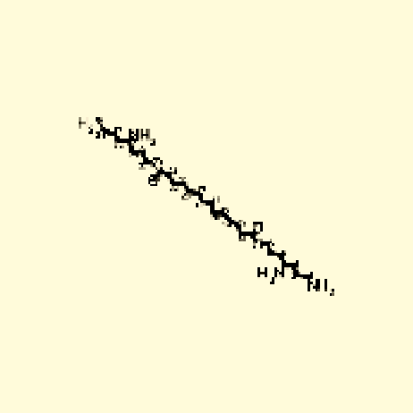 NCCCC(N)CCCOC(=O)CCCCCCCCCCCCC(=O)OCCCC(N)CCCN